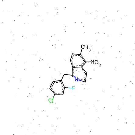 Cc1ccc2c(Cc3ccc(Cl)cc3F)nccc2c1[N+](=O)[O-]